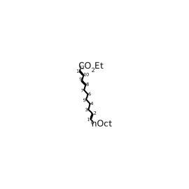 CCCCCCCCC=CCCCCCC=CC=CC(=O)OCC